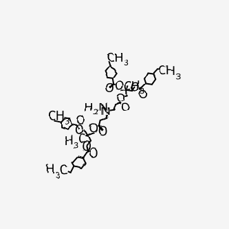 CCC1CCC(C(=O)OCC(C)(COC(=O)CCN(N)CCC(=O)OCC(C)(COC(=O)C2CCC(CC)CC2)COC(=O)C2CCC(CC)CC2)COC(=O)C2CCC(CC)CC2)CC1